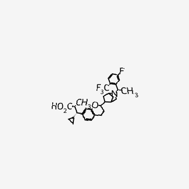 C[C@H](C(=O)O)[C@H](c1ccc2c(c1)OC(C1CC3CC1CN3[C@H](C)c1cc(F)ccc1C(F)(F)F)CC2)C1CC1